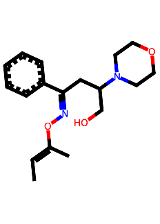 C/C=C(\C)ON=C(CC(CO)N1CCOCC1)c1ccccc1